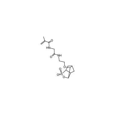 C=C(C)C(=O)NCC(=O)NCCOC1C2CC3C1OS(=O)(=O)C3C2